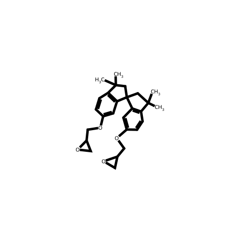 CC1(C)CC2(CC(C)(C)c3ccc(OCC4CO4)cc32)c2cc(OCC3CO3)ccc21